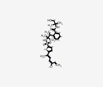 C=C/C(Cl)=C\C=C(/C)c1ccc(S(=O)(=O)NC(C)(C(=O)O)C(C)c2ccccc2C(=O)NC(C)(C)CO)s1